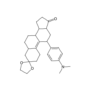 CN(C)c1ccc(C2CC3C(=O)CCC3C3CCC4CC5(CCC4=C23)OCCO5)cc1